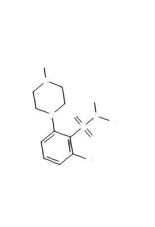 CCN1CCN(c2cccc(C)c2S(=O)(=O)N(C)C)CC1